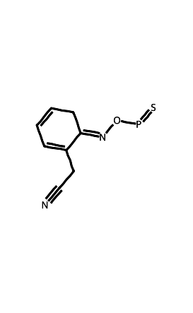 N#CCC1=CC=CCC1=NOP=S